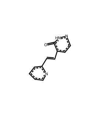 O=c1[nH]nccc1C=Cc1ccccn1